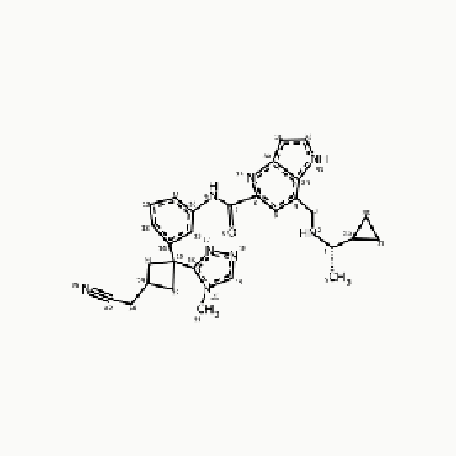 C[C@H](NCc1cc(C(=O)Nc2cccc(C3(c4nncn4C)CC(CC#N)C3)c2)nc2cc[nH]c12)C1CC1